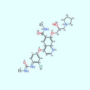 CCNC(=O)Nc1ccc(Oc2ccnc3cc(OC[C@@H](O)CN4CCCC4)c(C(=O)NCC)cc23)cc1Cl